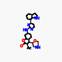 CC(=O)c1c(C2CNCCO2)c2ccc(Nc3nccc(-c4cccc5cc[nH]c45)n3)cc2oc1=O